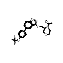 CC(=O)N1CCOCC1COc1noc2ccc(-c3ccc(OC(F)(F)F)cc3)cc12